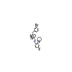 Fc1ccc(/C=C/c2nnc(Cc3cccc(Br)c3)o2)c(N2CCCCC2)c1